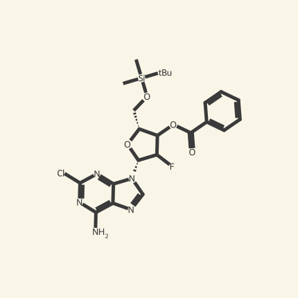 CC(C)(C)[Si](C)(C)OC[C@H]1O[C@@H](n2cnc3c(N)nc(Cl)nc32)C(F)C1OC(=O)c1ccccc1